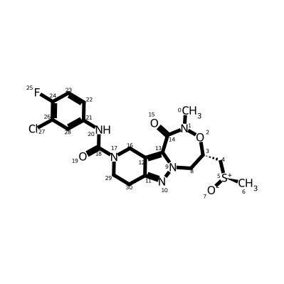 CN1O[C@H](C[S@@+](C)[O-])Cn2nc3c(c2C1=O)CN(C(=O)Nc1ccc(F)c(Cl)c1)CC3